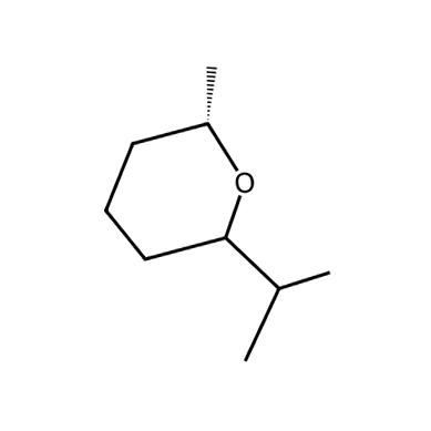 CC(C)C1CCC[C@H](C)O1